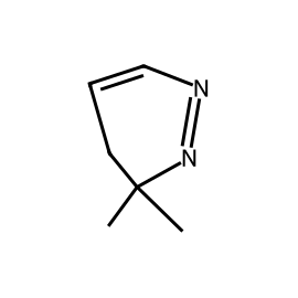 CC1(C)CC=CN=N1